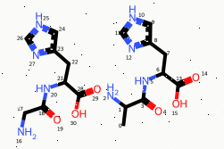 CC(N)C(=O)NC(Cc1c[nH]cn1)C(=O)O.NCC(=O)NC(Cc1c[nH]cn1)C(=O)O